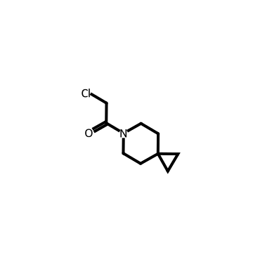 O=C(CCl)N1CCC2(CC1)CC2